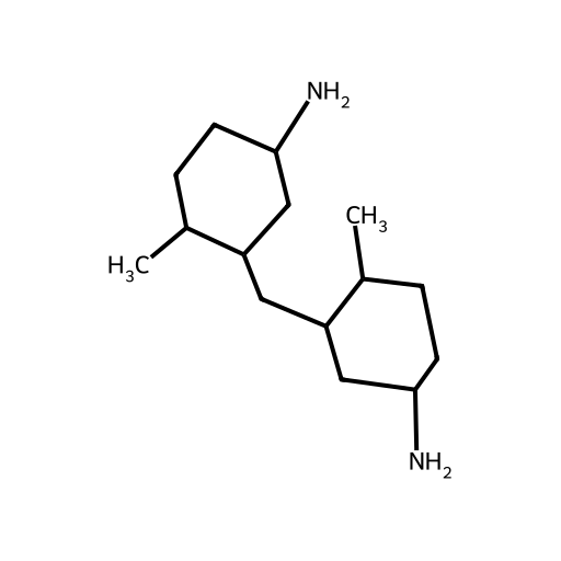 CC1CCC(N)CC1CC1CC(N)CCC1C